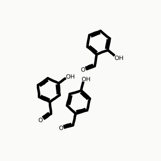 O=Cc1ccc(O)cc1.O=Cc1cccc(O)c1.O=Cc1ccccc1O